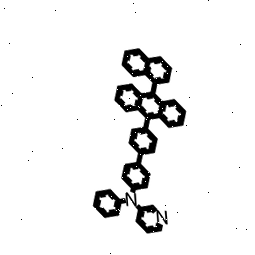 c1ccc(N(c2ccc(-c3ccc(-c4c5ccccc5c(-c5cccc6ccccc56)c5ccccc45)cc3)cc2)c2cccnc2)cc1